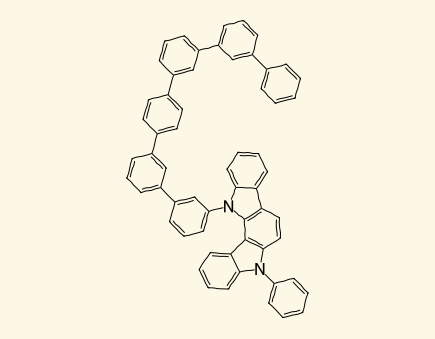 c1ccc(-c2cccc(-c3cccc(-c4ccc(-c5cccc(-c6cccc(-n7c8ccccc8c8ccc9c(c%10ccccc%10n9-c9ccccc9)c87)c6)c5)cc4)c3)c2)cc1